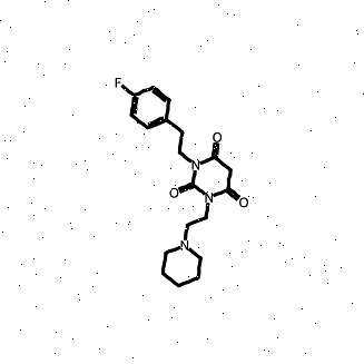 O=C1CC(=O)N(CCN2CCCCC2)C(=O)N1CCc1ccc(F)cc1